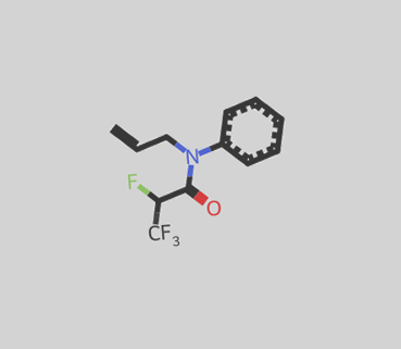 C=CCN(C(=O)C(F)C(F)(F)F)c1ccccc1